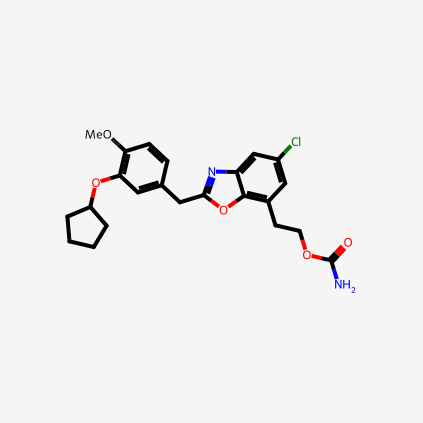 COc1ccc(Cc2nc3cc(Cl)cc(CCOC(N)=O)c3o2)cc1OC1CCCC1